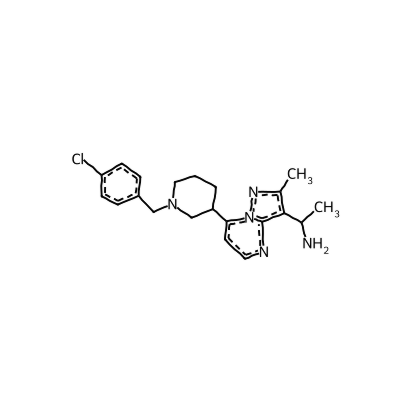 Cc1nn2c(C3CCCN(Cc4ccc(Cl)cc4)C3)ccnc2c1C(C)N